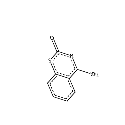 CC(C)(C)c1nc(=O)sc2ccccc12